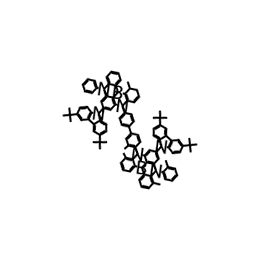 Cc1ccccc1N1c2cc(-n3c4ccc(C(C)(C)C)cc4c4cc(C(C)(C)C)ccc43)cc3c2B(c2cccc(C)c21)c1cccc(C)c1N3c1ccc(-c2ccc(N3C4=C(B5c6ccccc6N(c6ccccc6)c6cc(-n7c8ccc(C(C)(C)C)cc8c8cc(C(C)(C)C)ccc87)cc3c65)C(C)CC=C4)cc2)cc1C